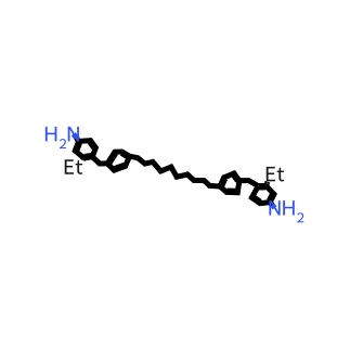 CCc1cc(N)ccc1Cc1ccc(CCCCCCCCCCc2ccc(Cc3ccc(N)cc3CC)cc2)cc1